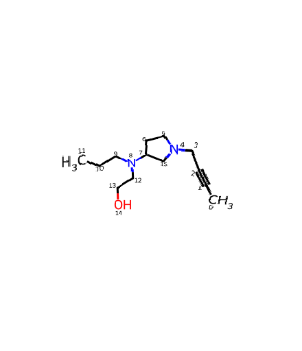 CC#CCN1CCC(N(CCC)CCO)C1